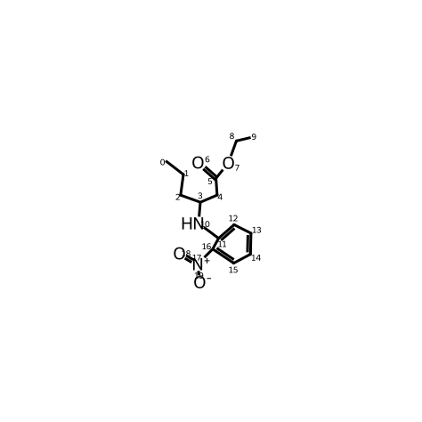 CCCC(CC(=O)OCC)Nc1ccccc1[N+](=O)[O-]